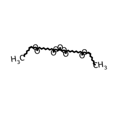 CCCCCC/C=C\COC(=O)CCCCCCCC(=O)OCC(=O)COC(=O)CCCCCCCC(=O)OC/C=C\CCCCCC